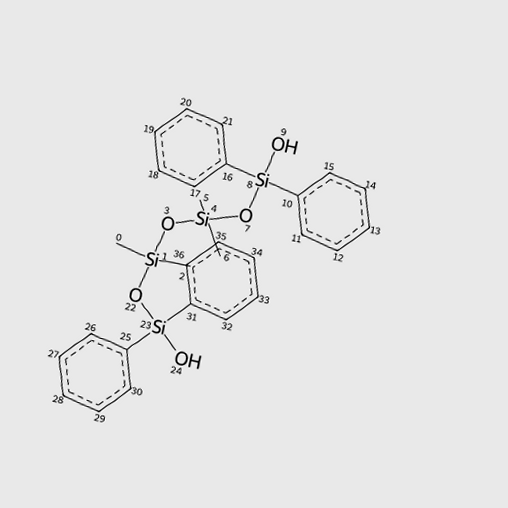 C[Si](C)(O[Si](C)(C)O[Si](O)(c1ccccc1)c1ccccc1)O[Si](O)(c1ccccc1)c1ccccc1